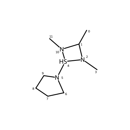 CC1N(C)[SH](N2CCCC2)N1C